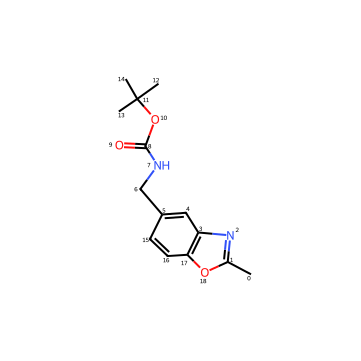 Cc1nc2cc(CNC(=O)OC(C)(C)C)ccc2o1